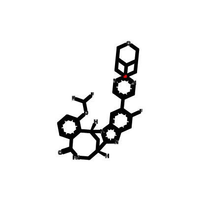 O=C1NC[C@@H]2C[C@H](c3c(OC(F)F)cccc31)n1c2nc2cc(F)c(-c3cnc(C4C5COCC4COC5)nc3)cc21